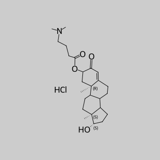 CN(C)CCCC(=O)OC1C[C@@]2(C)C(=CC1=O)CCC1C2CC[C@@]2(C)C1CC[C@@H]2O.Cl